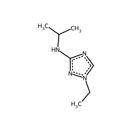 CCn1cnc(NC(C)C)n1